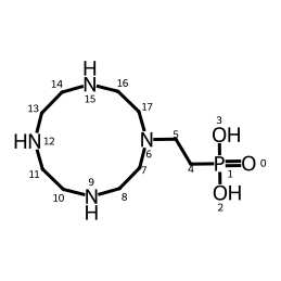 O=P(O)(O)CCN1CCNCCNCCNCC1